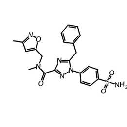 Cc1cc(CN(C)C(=O)c2nc(Cc3ccccc3)n(-c3ccc(S(N)(=O)=O)cc3)n2)on1